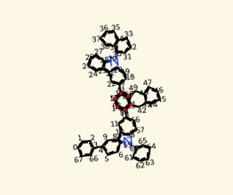 c1ccc(-c2ccc3c(c2)c2cc(-c4ccc(-c5ccc6c(c5)c5ccccc5n6-c5cccc6ccccc56)c5c4C4c6ccccc6C5c5ccccc54)ccc2n3-c2ccccc2)cc1